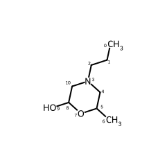 CCCN1CC(C)OC(O)C1